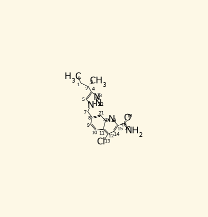 CC[C@H](C)c1cn(Cc2ccc3c(Cl)cc(C(N)=O)nc3c2)nn1